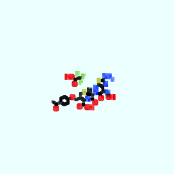 CC(=O)c1ccc(OCC2=C(C(=O)O)N3C(=O)C(NC(=O)/C(=N\O)c4csc(N)n4)[C@H]3SC2)cc1.O=C(O)C(F)(F)F